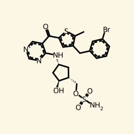 Cc1sc(C(=O)c2cncnc2N[C@@H]2C[C@H](COS(N)(=O)=O)[C@@H](O)C2)cc1Cc1cccc(Br)c1